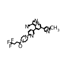 Cn1cc(-c2cc(-c3ccc(N4CCN(C(=O)CCC(F)(F)F)CC4)nc3)c3c(C#N)cnn3c2)cn1